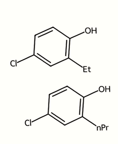 CCCc1cc(Cl)ccc1O.CCc1cc(Cl)ccc1O